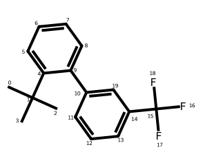 CC(C)(C)c1ccccc1-c1cccc(C(F)(F)F)c1